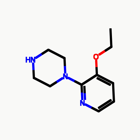 CCOc1cccnc1N1CCNCC1